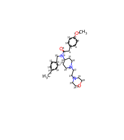 COc1ccc(CC(=O)N(Cc2ccc(C)cc2)C2CCN(CCN3CCOCC3)CC2)cc1